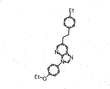 CCOc1ccc(-n2cnc3cc(CCc4ccc(CC)cc4)cnc32)cc1